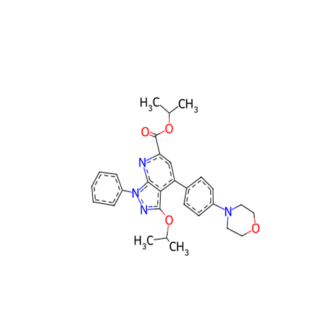 CC(C)OC(=O)c1cc(-c2ccc(N3CCOCC3)cc2)c2c(OC(C)C)nn(-c3ccccc3)c2n1